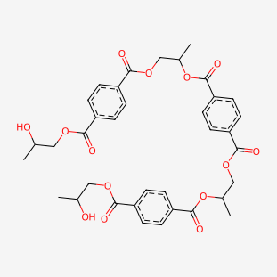 CC(O)COC(=O)c1ccc(C(=O)OCC(C)OC(=O)c2ccc(C(=O)OCC(C)OC(=O)c3ccc(C(=O)OCC(C)O)cc3)cc2)cc1